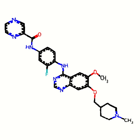 COc1cc2c(Nc3ccc(NC(=O)c4cnccn4)cc3F)ncnc2cc1OCC1CCN(C)CC1